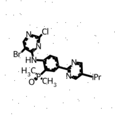 CC(C)c1cnc(-c2ccc(Nc3nc(Cl)ncc3Br)c(P(C)(C)=O)c2)nc1